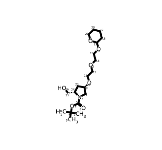 CC(C)(C)OC(=O)N1C[C@H](OCCOCCOC2CCCCO2)C[C@H]1CO